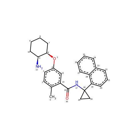 Cc1ccc(O[C@@H]2CCCC[C@@H]2N)cc1C(=O)NC1(c2cccc3ccccc23)CC1